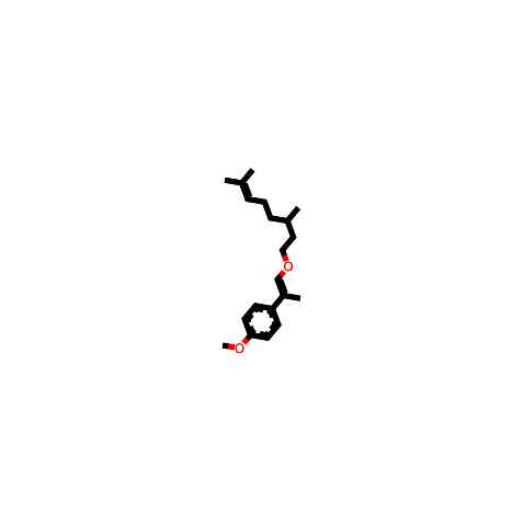 COc1ccc(C(C)=COCCC(C)CCC=C(C)C)cc1